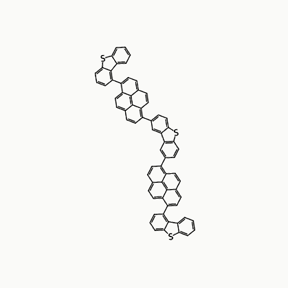 c1ccc2c(c1)sc1cccc(-c3ccc4ccc5c(-c6ccc7sc8ccc(-c9ccc%10ccc%11c(-c%12cccc%13sc%14ccccc%14c%12%13)ccc%12ccc9c%10c%12%11)cc8c7c6)ccc6ccc3c4c65)c12